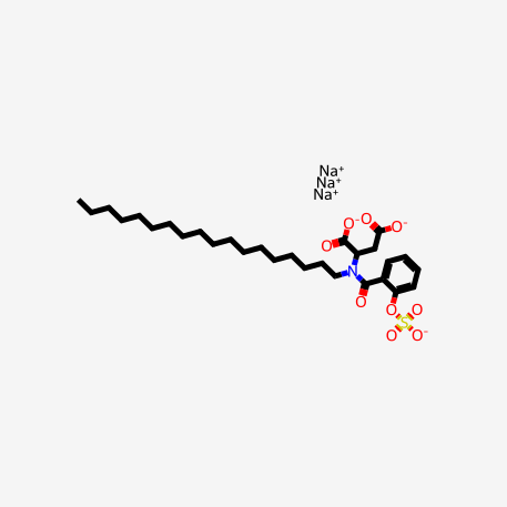 CCCCCCCCCCCCCCCCCCN(C(=O)c1ccccc1OS(=O)(=O)[O-])C(CC(=O)[O-])C(=O)[O-].[Na+].[Na+].[Na+]